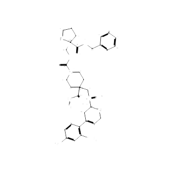 Cc1cc(C#N)ccc1C1=CCNC(S(=O)(=O)CC2(C(=O)NO)CCN(C(=O)OC[C@]3(C(=O)OCc4ccccc4)CCCN3)CC2)C1